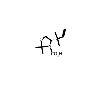 C=CC(C)(C)[C@H]1COC(C)(C)N1C(=O)O